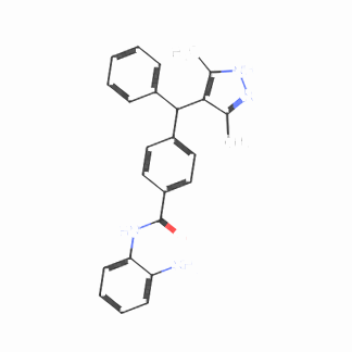 Cc1n[nH]c(C)c1C(c1ccccc1)c1ccc(C(=O)Nc2ccccc2N)cc1